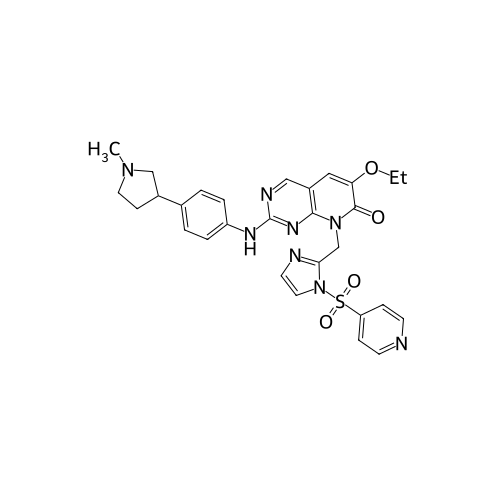 CCOc1cc2cnc(Nc3ccc(C4CCN(C)C4)cc3)nc2n(Cc2nccn2S(=O)(=O)c2ccncc2)c1=O